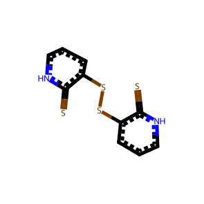 S=c1[nH]cccc1SSc1ccc[nH]c1=S